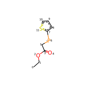 CCOC(=O)C[P]c1cccs1